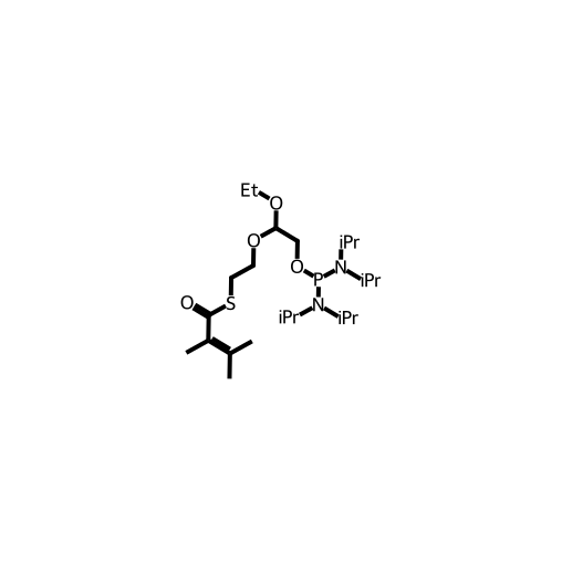 CCOC(COP(N(C(C)C)C(C)C)N(C(C)C)C(C)C)OCCSC(=O)C(C)=C(C)C